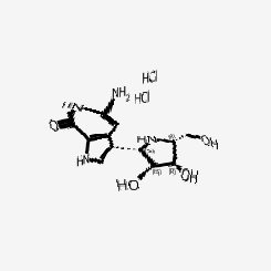 Cl.Cl.Nc1cc2c([C@@H]3N[C@H](CO)[C@@H](O)[C@H]3O)c[nH]c2c(=O)[nH]1